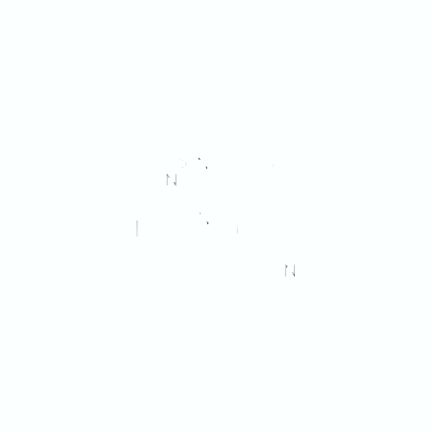 C(=C\c1nc(-c2ccccc2)c2nsnc2c1-c1ccccc1)/c1ccncc1